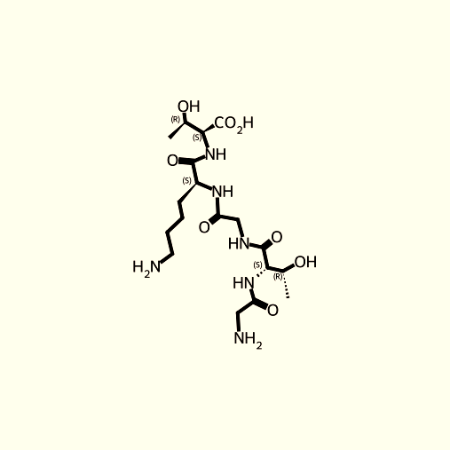 C[C@@H](O)[C@H](NC(=O)[C@H](CCCCN)NC(=O)CNC(=O)[C@@H](NC(=O)CN)[C@@H](C)O)C(=O)O